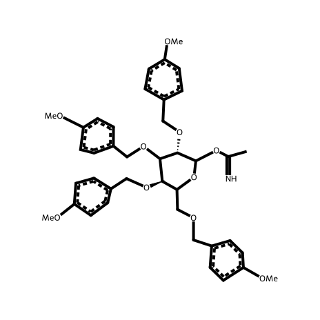 COc1ccc(COCC2OC(OC(C)=N)[C@@H](OCc3ccc(OC)cc3)C(OCc3ccc(OC)cc3)[C@@H]2OCc2ccc(OC)cc2)cc1